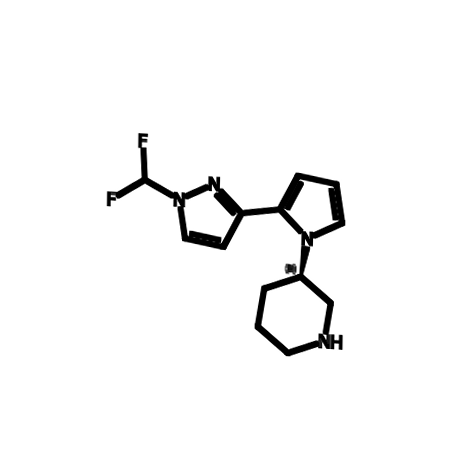 FC(F)n1ccc(-c2cccn2[C@@H]2CCCNC2)n1